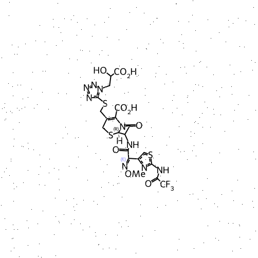 CO/N=C(/C(=O)NC1C(=O)N2C(C(=O)O)=C(CSc3nnnn3CC(O)C(=O)O)CS[C@H]12)c1csc(NC(=O)C(F)(F)F)n1